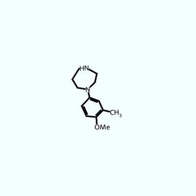 COc1ccc(N2CCCNCC2)cc1C